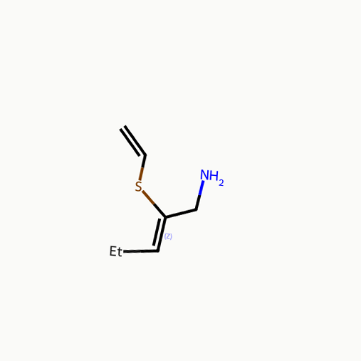 C=CS/C(=C\CC)CN